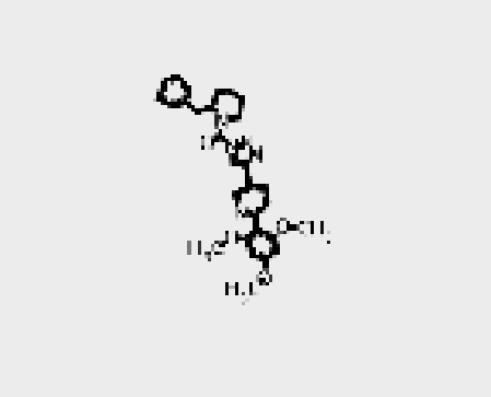 COc1cc(OC)c(-c2ccc(-c3cn(C(=O)N4CCCCC4Cc4ccccc4)nn3)cn2)c(OC)c1